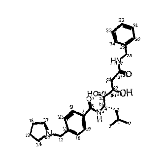 CC(C)C[C@H](NC(=O)c1ccc(CN2CCCC2)cc1)[C@@H](O)[C@H](O)CC(=O)NCc1ccccc1